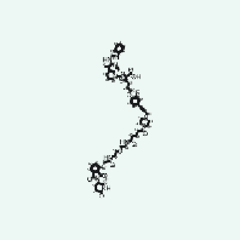 Cc1c(Nc2nc3ccccc3s2)nnc2c1CCCN2c1nc(C(=O)O)c(CCCOc2ccc(C#CCN3CCN(C(=O)CCCC(=O)NCCOCCNC(=O)COc4cccc5c4C(=O)N(C4CCC(=O)NC4=O)C5=O)CC3)cc2F)s1